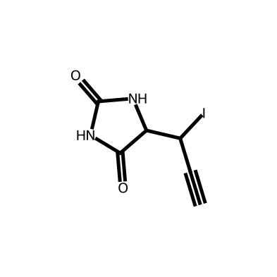 C#CC(I)C1NC(=O)NC1=O